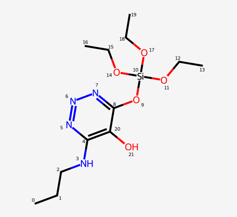 CCCNc1nnnc(O[Si](OCC)(OCC)OCC)c1O